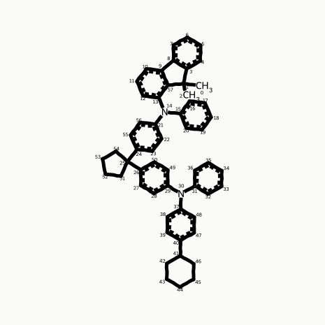 CC1(C)c2ccccc2-c2cccc(N(c3ccccc3)c3ccc(C4(c5ccc(N(c6ccccc6)c6ccc(C7CCCCC7)cc6)cc5)CCCC4)cc3)c21